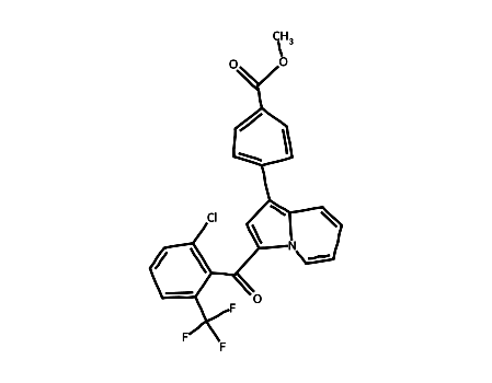 COC(=O)c1ccc(-c2cc(C(=O)c3c(Cl)cccc3C(F)(F)F)n3ccccc23)cc1